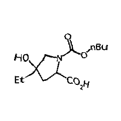 CCCCOC(=O)N1CC(O)(CC)CC1C(=O)O